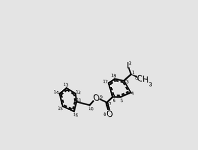 C[C@H](I)c1ccc(C(=O)OCc2ccccc2)cc1